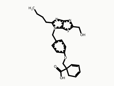 CCCCc1nc2nc(CO)sc2n1Cc1ccc(OCC2(C(=O)O)C=CC=CC2)cc1